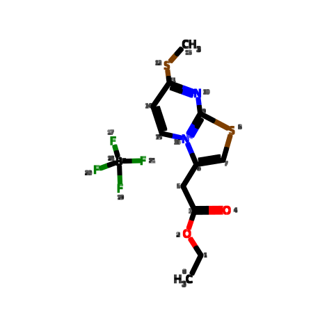 CCOC(=O)Cc1csc2nc(SC)cc[n+]12.F[B-](F)(F)F